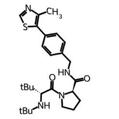 Cc1ncsc1-c1ccc(CNC(=O)[C@H]2CCCN2C(=O)[C@H](NC(C)(C)C)C(C)(C)C)cc1